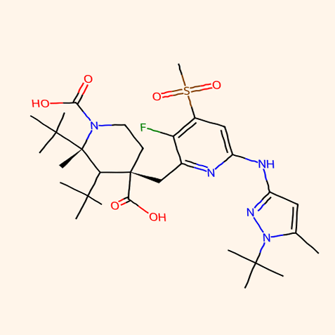 Cc1cc(Nc2cc(S(C)(=O)=O)c(F)c(C[C@]3(C(=O)O)CCN(C(=O)O)[C@@](C)(C(C)(C)C)C3C(C)(C)C)n2)nn1C(C)(C)C